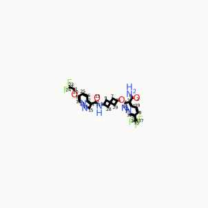 NC(=O)c1c(OC2CC3(CC(NC(=O)c4cnn5cc(OCC(F)F)ccc45)C3)C2)nn2cc(C(F)(F)F)ccc12